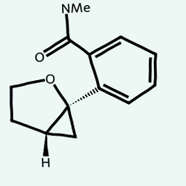 CNC(=O)c1ccccc1[C@]12C[C@@H]1CCO2